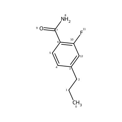 CCCc1ccc(C(N)=O)c(F)c1